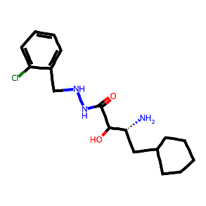 N[C@H](CC1CCCCC1)C(O)C(=O)NNCc1ccccc1Cl